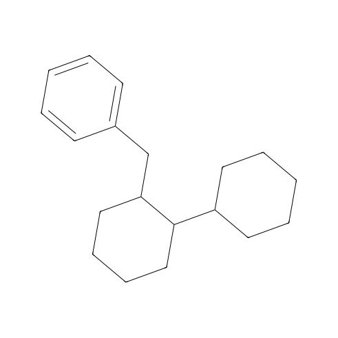 c1ccc(CC2CCCCC2C2CCCCC2)cc1